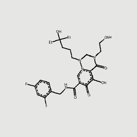 CCC(O)(CC)CCCN1CN(CCOC)C(=O)c2c(O)c(=O)c(C(=O)NCc3ccc(F)cc3F)cn21